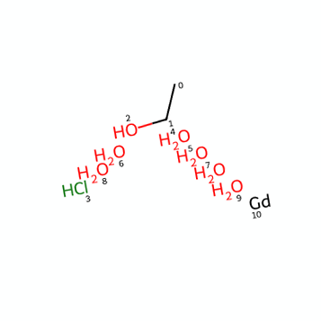 CCO.Cl.O.O.O.O.O.O.[Gd]